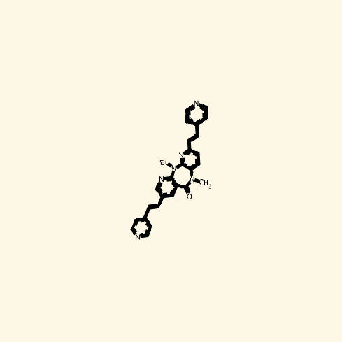 CCN1c2ncc(/C=C/c3ccncc3)cc2C(=O)N(C)c2ccc(/C=C/c3ccncc3)nc21